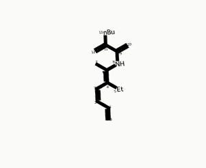 C=C/C=C\C(CC)=C(/C)NC(=C)C(=C)CCCC